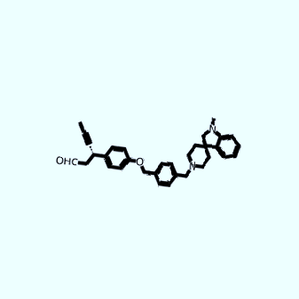 CC#C[C@@H](CC=O)c1ccc(OCc2ccc(CN3CCC4(CC3)CN(C)c3ccccc34)cc2)cc1